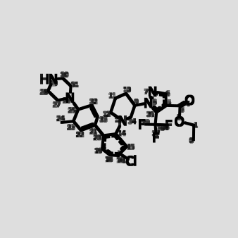 CCOC(=O)c1cnn(C2CCCN(c3cc(Cl)ccc3C3=CC(C)C(N4CCNCC4)C=C3)C2)c1C(F)(F)F